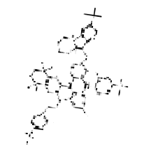 Cc1cc2c3c(c1)N(c1ccc(C(C)(C)C)cc1C)c1cc(CC4c5ccc(C(C)(C)C)cc5C5(C)CCCCC45C)ccc1B3c1cc3c(cc1C2CCc1ccc(C(C)(C)C)cc1C)C(C)(C)CCC3(C)C